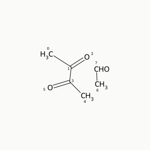 CC(=O)C(C)=O.CC=O